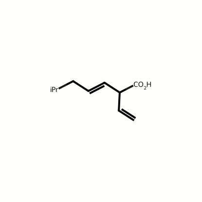 C=CC(C=CCC(C)C)C(=O)O